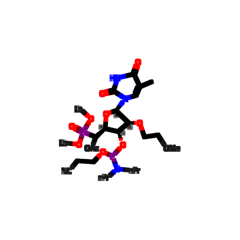 CCCN(CCC)P(OCCC#N)O[C@H]1[C@@H](OCCOC)[C@H](n2cc(C)c(=O)[nH]c2=O)O[C@@H]1C(OC(C)=O)P(=O)(OCC)OCC